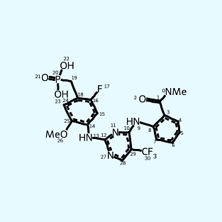 CNC(=O)c1ccccc1Nc1nc(Nc2cc(F)c(CP(=O)(O)O)cc2OC)ncc1C(F)(F)F